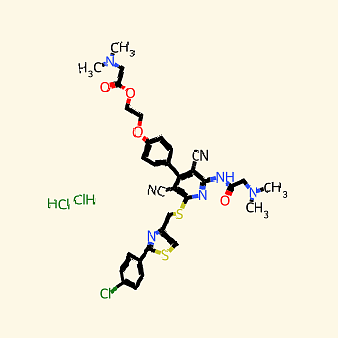 CN(C)CC(=O)Nc1nc(SCc2csc(-c3ccc(Cl)cc3)n2)c(C#N)c(-c2ccc(OCCOC(=O)CN(C)C)cc2)c1C#N.Cl.Cl